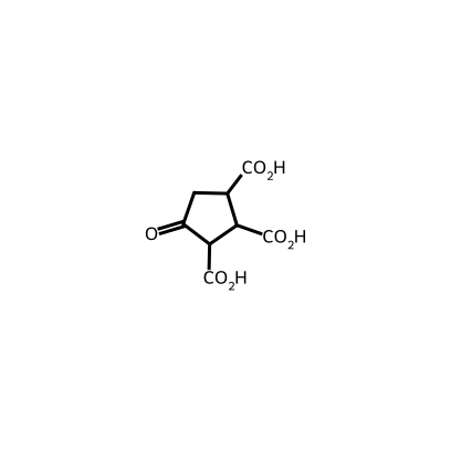 O=C(O)C1CC(=O)C(C(=O)O)C1C(=O)O